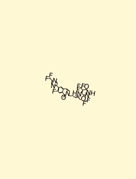 O=c1[nH]ncc(N[C@H](CCCn2ccc3cc(-c4cnc(C(F)F)cn4)c(F)cc3c2=O)COC(F)F)c1C(F)(F)F